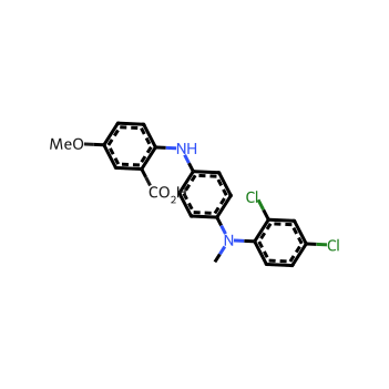 COc1ccc(Nc2ccc(N(C)c3ccc(Cl)cc3Cl)cc2)c(C(=O)O)c1